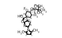 Cc1ccc(C)n1-c1cnc([C@]2(C(=O)O)CC[C@H](O[Si](C)(C)C(C)(C)C)[C@@H](F)C2)cn1